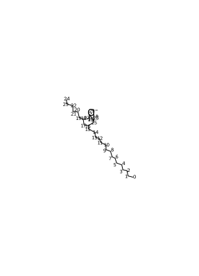 CCCCCCCCCCCCCCCCC(CCCCCCCC)C[N+](C)(C)[O-]